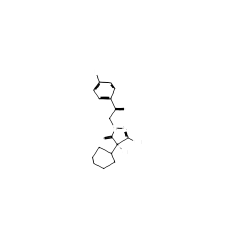 CC1=NN(CC(=O)c2ccc(F)cc2)C(=O)[C@@]1(C)C1CCCCC1